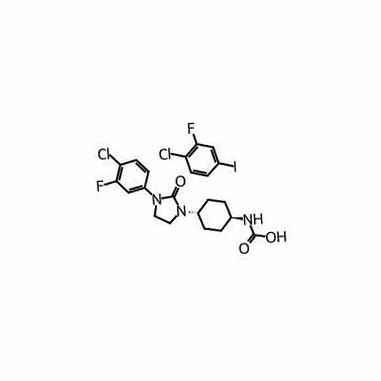 Fc1cc(I)ccc1Cl.O=C(O)N[C@H]1CC[C@H](N2CCN(c3ccc(Cl)c(F)c3)C2=O)CC1